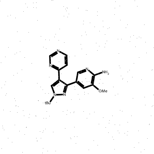 COc1cc(-c2nn(C(C)(C)C)cc2-c2ccncn2)cnc1N